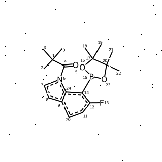 CC(C)(C)C(=O)n1ccc2ccc(F)c(B3OC(C)(C)C(C)(C)O3)c21